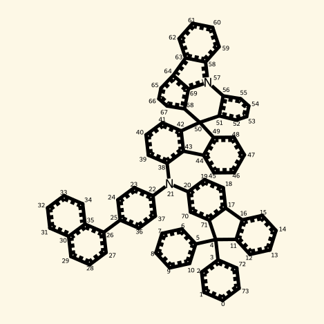 c1ccc(C2(c3ccccc3)c3ccccc3-c3ccc(N(c4ccc(-c5cccc6ccccc56)cc4)c4cccc5c4-c4ccccc4C54c5ccccc5-n5c6ccccc6c6cccc4c65)cc32)cc1